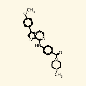 COc1ccc(-c2cnc3c(Nc4ccc(C(=O)N5CCN(C)CC5)cc4)nccn23)cc1